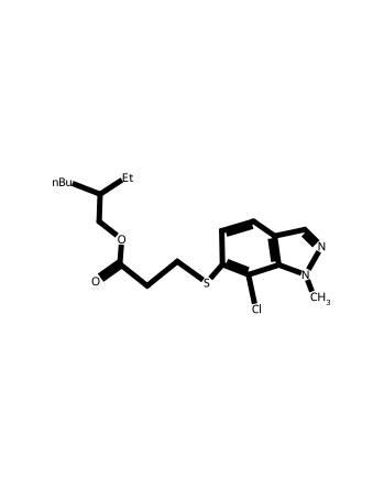 CCCCC(CC)COC(=O)CCSc1ccc2cnn(C)c2c1Cl